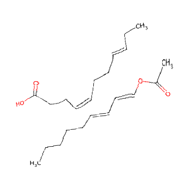 CC/C=C/CC/C=C\CCC(=O)O.CCCCCC=CC=COC(C)=O